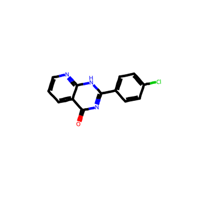 O=c1nc(-c2ccc(Cl)cc2)[nH]c2ncccc12